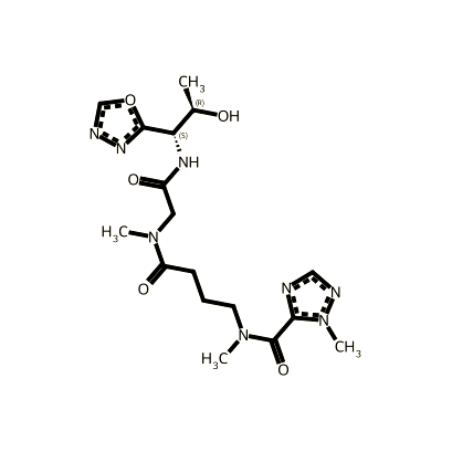 C[C@@H](O)[C@H](NC(=O)CN(C)C(=O)CCCN(C)C(=O)c1ncnn1C)c1nnco1